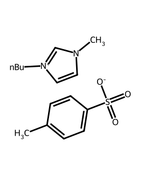 CCCC[n+]1ccn(C)c1.Cc1ccc(S(=O)(=O)[O-])cc1